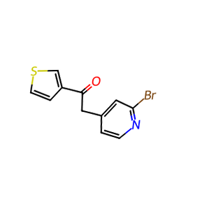 O=C(Cc1ccnc(Br)c1)c1ccsc1